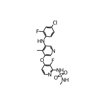 CNS(=O)(=O)Nc1nccc(Oc2cncc(Nc3ccc(Cl)cc3F)c2C)c1F